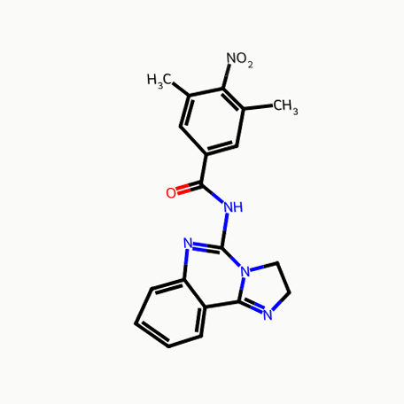 Cc1cc(C(=O)NC2=Nc3ccccc3C3=NCCN23)cc(C)c1[N+](=O)[O-]